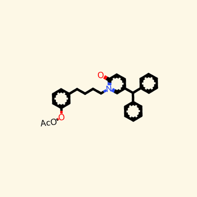 CC(=O)OOc1cccc(CCCCn2cc(C(c3ccccc3)c3ccccc3)ccc2=O)c1